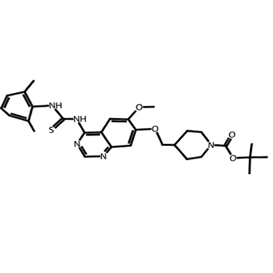 COc1cc2c(NC(=S)Nc3c(C)cccc3C)ncnc2cc1OCC1CCN(C(=O)OC(C)(C)C)CC1